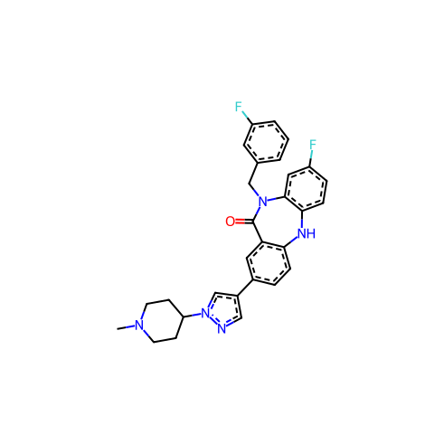 CN1CCC(n2cc(-c3ccc4c(c3)C(=O)N(Cc3cccc(F)c3)c3cc(F)ccc3N4)cn2)CC1